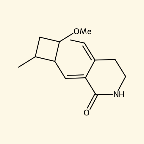 C/C=C1/CCNC(=O)/C1=C/C1C(C)CC1OC